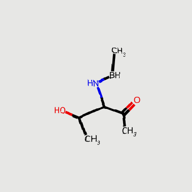 CBNC(C(C)=O)C(C)O